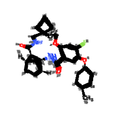 CCOc1cc(F)c(O[C@H]2CC[C@H](C)CC2)cc1C(=O)N[C@@H]1[C@H]2CC[C@H](C2)[C@@H]1C(=O)NCC1(C)CCC1